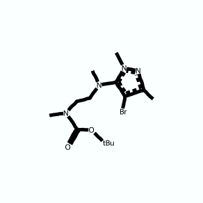 Cc1nn(C)c(N(C)CCN(C)C(=O)OC(C)(C)C)c1Br